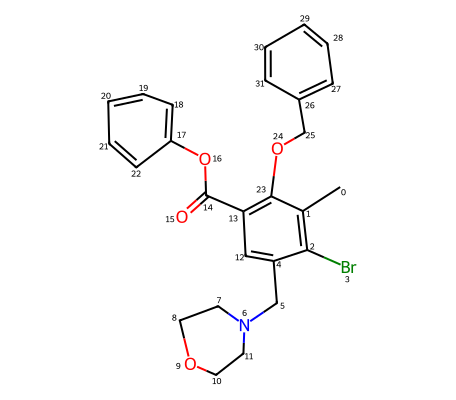 Cc1c(Br)c(CN2CCOCC2)cc(C(=O)Oc2ccccc2)c1OCc1ccccc1